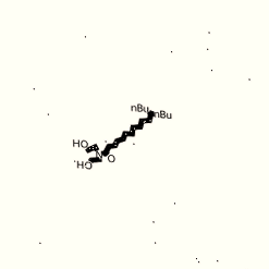 CCCCC(CCCC)CCCCCCCCCCC(=O)N(CCO)CCO